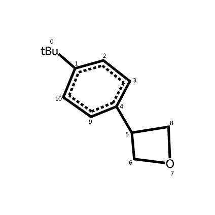 CC(C)(C)c1ccc(C2COC2)cc1